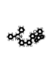 c1ccc(-c2cc(-c3ccccc3)nc(-c3cccc(-c4cccc(-c5ccc6c(c5)C5(c7ccccc7O6)c6ccccc6-c6ccccc65)c4)c3)n2)cc1